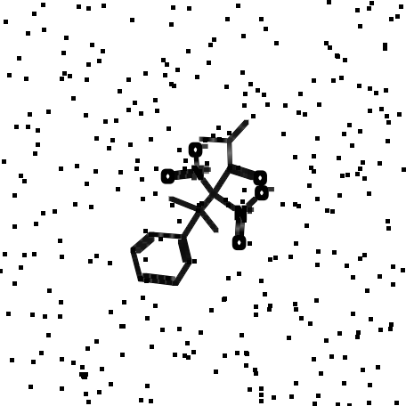 CC(C)C(=O)C([N+](=O)[O-])([N+](=O)[O-])C(C)(C)c1ccccc1